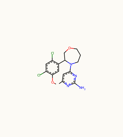 COc1cc(C2COCCCN2c2cc(C)nc(N)n2)c(Cl)cc1Cl